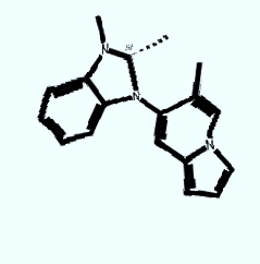 Cc1cn2cccc2cc1N1c2ccccc2N(C)[C@@H]1C